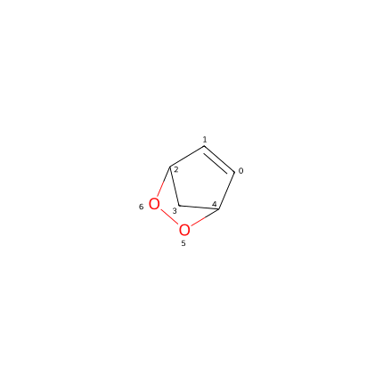 C1=CC2CC1OO2